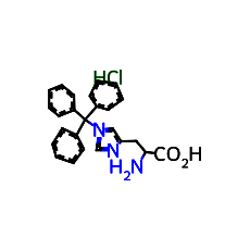 Cl.NC(Cc1cn(C(c2ccccc2)(c2ccccc2)c2ccccc2)cn1)C(=O)O